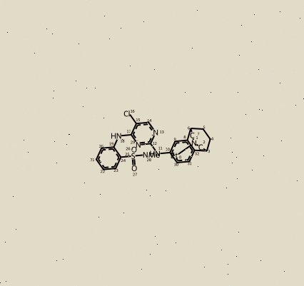 CCN1CC2CCC(C1)c1cc(Nc3ncc(Cl)c(Nc4ccccc4S(=O)(=O)NC)n3)ccc12